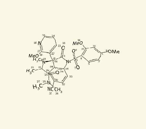 COc1ccc(S(=O)(=O)N2C(=O)[C@](c3cccnc3OC)(N(C)C(C)C(=O)N(C)C)c3cc(C#N)ccc32)c(OC)c1